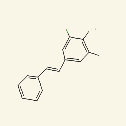 CCCc1c(C)cc(/C=C/c2ccccc2)cc1F